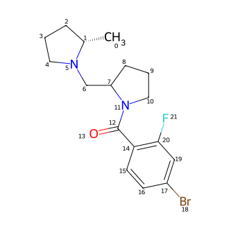 C[C@H]1CCCN1CC1CCCN1C(=O)c1ccc(Br)cc1F